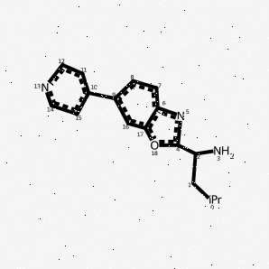 CC(C)CC(N)c1nc2ccc(-c3ccncc3)cc2o1